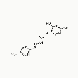 O=C(CSc1nnc(O)nc1O)N/N=C/c1ccc(C(=O)O)cn1